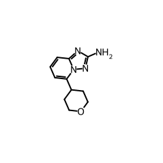 Nc1nc2cccc(C3CCOCC3)n2n1